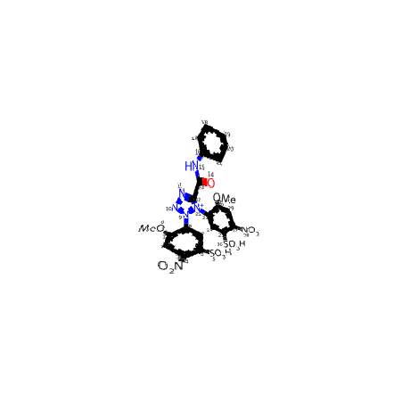 COc1cc([N+](=O)[O-])c(S(=O)(=O)O)cc1-n1nnc(C(=O)Nc2ccccc2)[n+]1-c1cc(S(=O)(=O)O)c([N+](=O)[O-])cc1OC